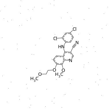 COCCOc1ccc2c(Nc3ccc(Cl)cc3Cl)c(C#N)cnc2c1OC